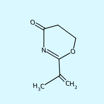 C=C(C)C1=NC(=O)CCO1